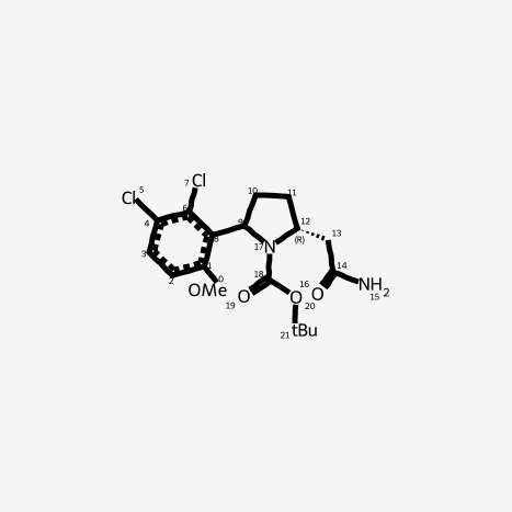 COc1ccc(Cl)c(Cl)c1C1CC[C@H](CC(N)=O)N1C(=O)OC(C)(C)C